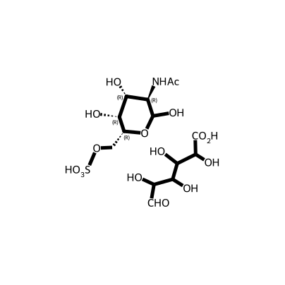 CC(=O)N[C@H]1C(O)O[C@H](COS(=O)(=O)O)[C@H](O)[C@@H]1O.O=CC(O)C(O)C(O)C(O)C(=O)O